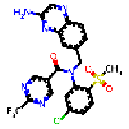 CS(=O)(=O)c1ccc(Cl)cc1N(Cc1ccc2ncc(N)nc2c1)C(=O)c1cnc(C(F)(F)F)nc1